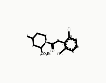 CCOC(=O)C1CC(C)CCN1C(=O)Cc1c(Cl)cccc1Cl